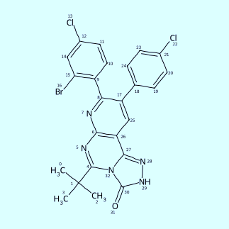 CC(C)(C)c1nc2nc(-c3ccc(Cl)cc3Br)c(-c3ccc(Cl)cc3)cc2c2n[nH]c(=O)n12